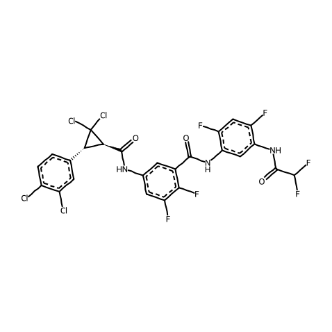 O=C(Nc1cc(NC(=O)C(F)F)c(F)cc1F)c1cc(NC(=O)[C@H]2[C@H](c3ccc(Cl)c(Cl)c3)C2(Cl)Cl)cc(F)c1F